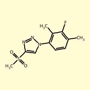 Cc1ccc(-n2cc(S(C)(=O)=O)nn2)c(C)c1F